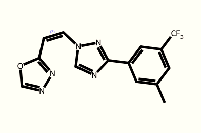 Cc1cc(-c2ncn(/C=C\c3nnco3)n2)cc(C(F)(F)F)c1